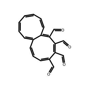 O=CC1=CC=CC2=CC=CC=CC=CC2=C(C=O)C(C=O)=C1C=O